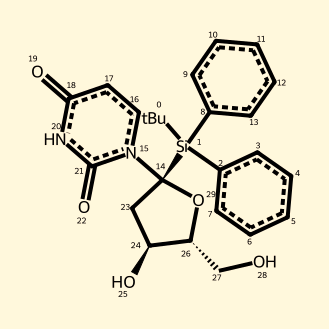 CC(C)(C)[Si](c1ccccc1)(c1ccccc1)[C@]1(n2ccc(=O)[nH]c2=O)C[C@H](O)[C@@H](CO)O1